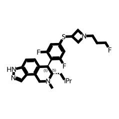 CC(C)C[C@H]1[C@H](c2c(F)cc(SC3CN(CCCF)C3)cc2F)c2ccc3[nH]ncc3c2CN1C